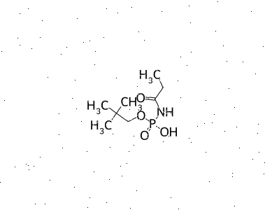 CCC(=O)NP(=O)(O)OCC(C)(C)C